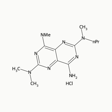 CCCN(C)c1nc(N)c2nc(N(C)C)nc(NC)c2n1.Cl